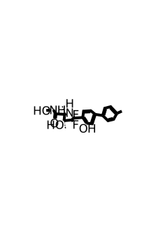 Cc1ccc(-c2ccc(CN[C@](C)(C(=O)NO)[C@](C)(O)C(F)F)c(O)c2)cc1